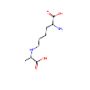 CC(NCCCCC(N)C(=O)O)C(=O)O